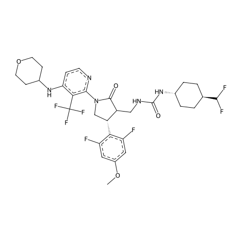 COc1cc(F)c([C@@H]2CN(c3nccc(NC4CCOCC4)c3C(F)(F)F)C(=O)C2CNC(=O)N[C@H]2CC[C@H](C(F)F)CC2)c(F)c1